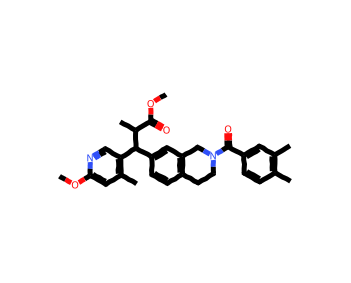 COC(=O)C(C)C(c1ccc2c(c1)CN(C(=O)c1ccc(C)c(C)c1)CC2)c1cnc(OC)cc1C